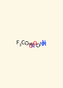 FC(F)(F)c1ccc([C@@H]2CC(Oc3cccc(-n4cnnc4)c3)=NO2)cc1